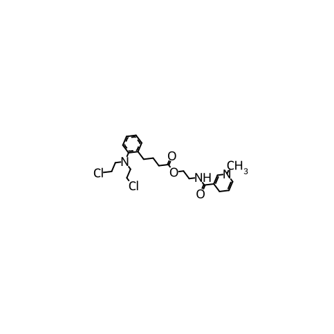 CN1C=CCC(C(=O)NCCOC(=O)CCCc2ccccc2N(CCCl)CCCl)=C1